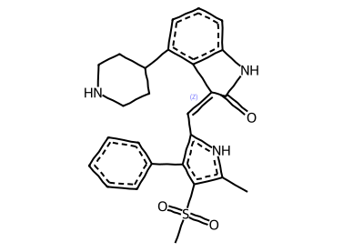 Cc1[nH]c(/C=C2\C(=O)Nc3cccc(C4CCNCC4)c32)c(-c2ccccc2)c1S(C)(=O)=O